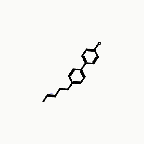 C/C=C/CCc1ccc(-c2ccc(Cl)cc2)cc1